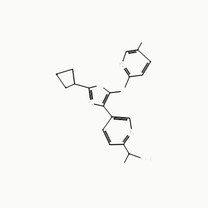 CC(O)c1ccc(-c2nc(C3CCC3)oc2Sc2ccc(Cl)cn2)cn1